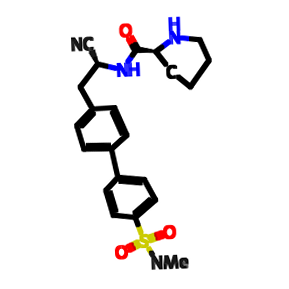 CNS(=O)(=O)c1ccc(-c2ccc(C[C@@H](C#N)NC(=O)[C@@H]3CCCCN3)cc2)cc1